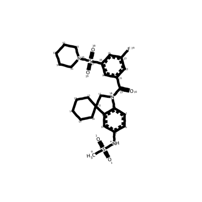 CS(=O)(=O)Nc1ccc2c(c1)C1(CCCCC1)CN2C(=O)c1cc(F)cc(S(=O)(=O)N2CCCCC2)c1